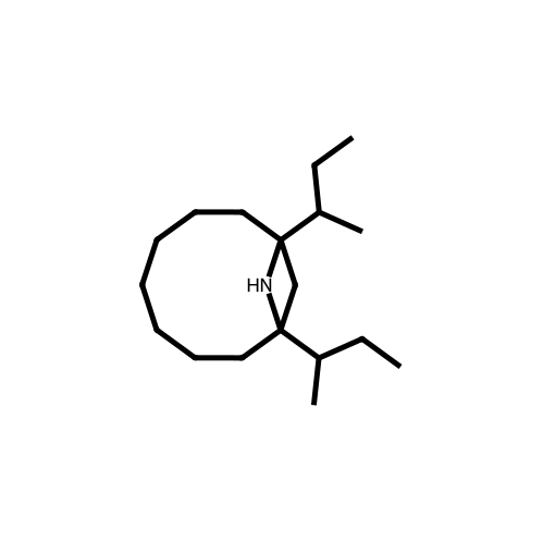 CCC(C)C12CCCCCCCC(C(C)CC)(C1)N2